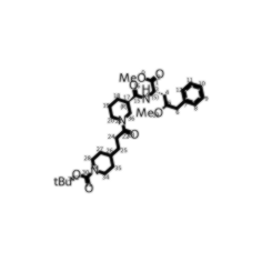 COC(=O)[C@H](C[C@@H](Cc1ccccc1)OC)NC(=O)[C@@H]1CCCN(C(=O)CCC2CCN(C(=O)OC(C)(C)C)CC2)C1